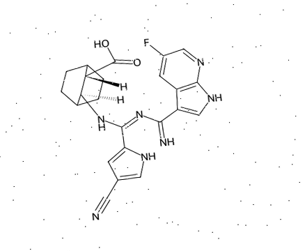 N#Cc1c[nH]c(/C(=N\C(=N)c2c[nH]c3ncc(F)cc23)N[C@H]2C3CCC(CC3)[C@@H]2C(=O)O)c1